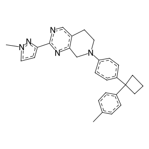 Cc1ccc(C2(c3ccc(N4CCc5cnc(-c6ccn(C)n6)nc5C4)cc3)CCC2)cc1